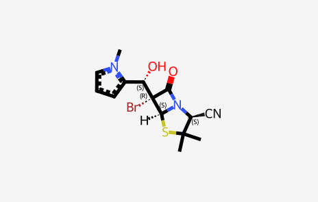 Cn1cccc1[C@H](O)[C@@]1(Br)C(=O)N2[C@@H](C#N)C(C)(C)S[C@H]21